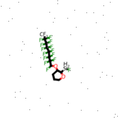 F[SiH2]C1OCCCC1OC(F)C(F)(F)C(F)(F)C(F)(F)C(F)(F)C(F)(F)C(F)(F)C(F)(F)F